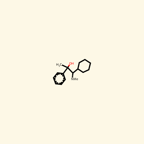 CNC(C1CCCCC1)C(C)(O)c1ccccc1